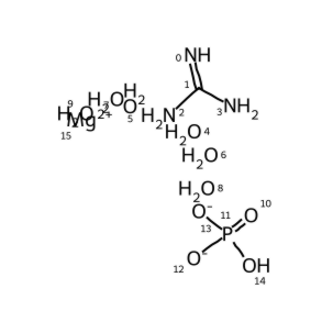 N=C(N)N.O.O.O.O.O.O.O=P([O-])([O-])O.[Mg+2]